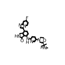 CNC(C)(C)[C@H]1CN(c2ccc(Nc3ccc(-c4cnc5cc(F)ccn45)c4c3C(=O)NC4)nc2)CCO1